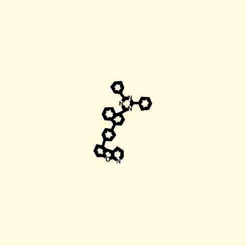 c1ccc(-c2nc(-c3ccccc3)nc(-c3ccc(-c4ccc(-c5cccc6oc7ncccc7c56)cc4)c4ccccc34)n2)cc1